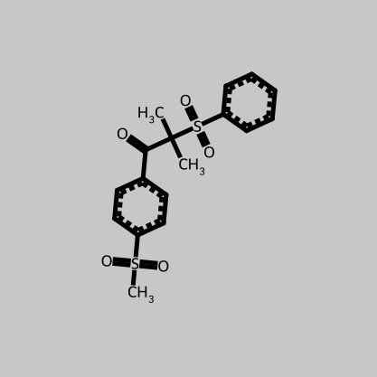 CC(C)(C(=O)c1ccc(S(C)(=O)=O)cc1)S(=O)(=O)c1ccccc1